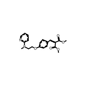 COC(=O)C(=Cc1ccc(OCCN(C)c2ccccn2)cc1)C(=O)OC